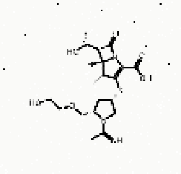 CC(=N)N1C[C@@H](SC2=C(C(=O)O)N3C(=O)[C@H]([C@@H](C)O)[C@H]3[C@H]2C)C[C@H]1COCCO